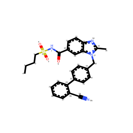 CCCCS(=O)(=O)NC(=O)c1ccc2nc(C)n(Cc3ccc(-c4ccccc4C#N)cc3)c2c1